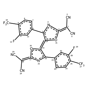 N#CC(C#N)=c1nc(-c2ccc(C(F)(F)F)c(F)c2)/c(=c2\oc(=C(C#N)C#N)nc2-c2ccc(C(F)(F)F)c(F)c2)o1